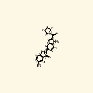 C=C(c1cc2cc(N3Cc4ccc(CC)cc4C3=C)ccc2n1C)N1CCCC1